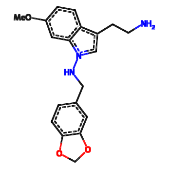 COc1ccc2c(CCN)cn(NCc3ccc4c(c3)OCO4)c2c1